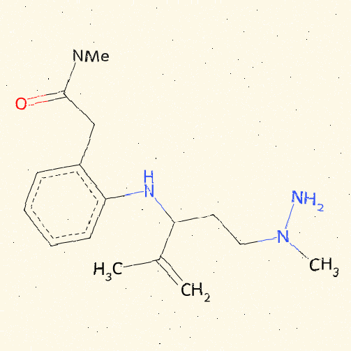 C=C(C)C(CCN(C)N)Nc1ccccc1CC(=O)NC